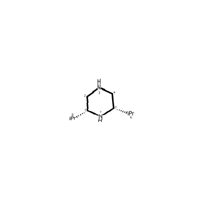 CC(C)[C@@H]1CNC[C@H](C(C)C)N1